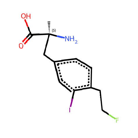 C[C@](N)(Cc1ccc(CCF)c(I)c1)C(=O)O